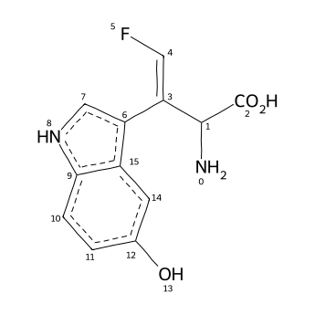 NC(C(=O)O)/C(=C/F)c1c[nH]c2ccc(O)cc12